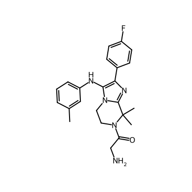 Cc1cccc(Nc2c(-c3ccc(F)cc3)nc3n2CCN(C(=O)CN)C3(C)C)c1